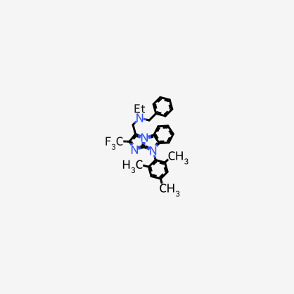 CCN(Cc1ccccc1)Cc1c(C(F)(F)F)nc2n(-c3c(C)cc(C)cc3C)c3ccccc3n12